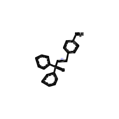 O=P(/C=C/c1ccc(S(=O)(=O)O)cc1)(c1ccccc1)c1ccccc1